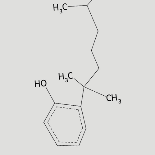 CNC(C)CCCC(C)(C)c1ccccc1O